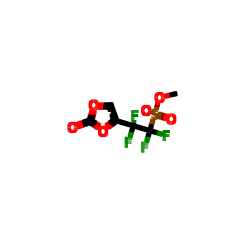 COS(=O)(=O)C(F)(F)C(F)(F)c1coc(=O)o1